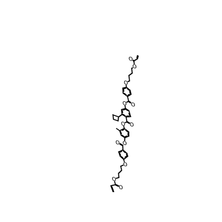 C=CC(=O)OCCCCOc1ccc(C(=O)Oc2ccc(OC(=O)c3ccc(OC(=O)c4ccc(OCCCCOC(=O)C=C)cc4)cc3C3CCC3)c(C)c2)cc1